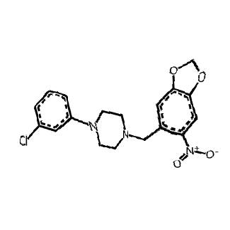 O=[N+]([O-])c1cc2c(cc1CN1CCN(c3cccc(Cl)c3)CC1)OCO2